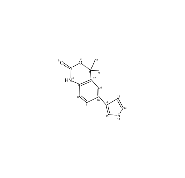 CC1(C)OC(=O)Nc2ccc(-c3ccsc3)cc21